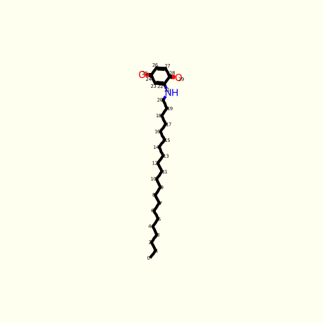 CCCCCCCCCCCCCCCCCCCCCNC1=CC(=O)C=CC1=O